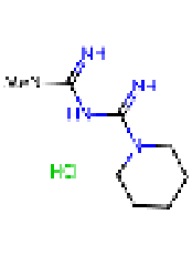 CNC(=N)NC(=N)N1CCCCC1.Cl